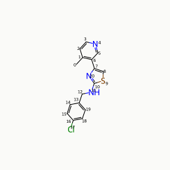 Cc1ccncc1-c1csc(NCc2ccc(Cl)cc2)n1